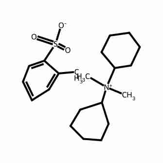 C[N+](C)(C1CCCCC1)C1CCCCC1.Cc1ccccc1S(=O)(=O)[O-]